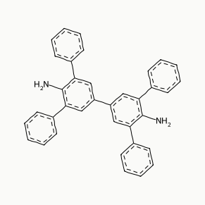 Nc1c(-c2ccccc2)cc(-c2cc(-c3ccccc3)c(N)c(-c3ccccc3)c2)cc1-c1ccccc1